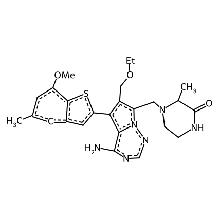 CCOCc1c(-c2cc3cc(C)cc(OC)c3s2)c2c(N)ncnn2c1CN1CCNC(=O)C1C